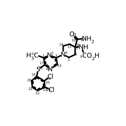 Cc1nc(N2CCC(NC(=O)O)(C(N)=O)CC2)cnc1Sc1cccc(Cl)c1Cl